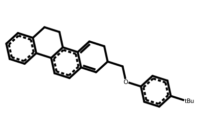 CC(C)(C)c1ccc(OCC2C=c3ccc4c(c3=CC2)CCc2ccccc2-4)cc1